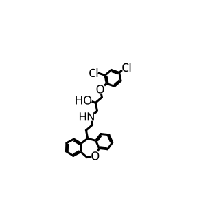 OC(CNCCC1c2ccccc2COc2ccccc21)COc1ccc(Cl)cc1Cl